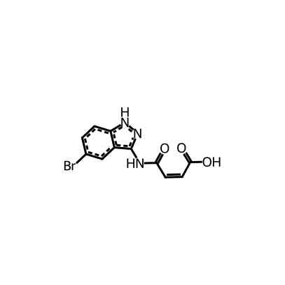 O=C(O)/C=C\C(=O)Nc1n[nH]c2ccc(Br)cc12